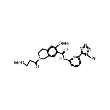 COCCC(=O)N1CCc2cc(OC)c(C(=O)Nc3cccc(-c4nnnn4C(C)C)n3)cc2C1